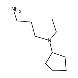 CCN(CCCN)C1CCCC1